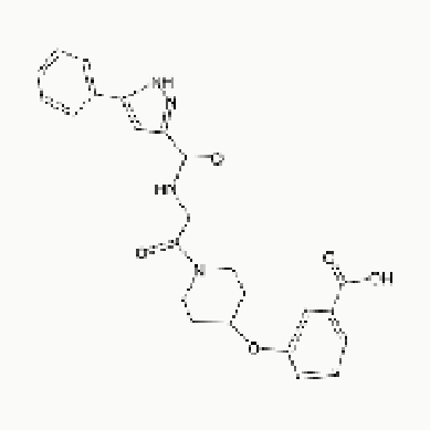 O=C(O)c1cccc(OC2CCN(C(=O)CNC(=O)c3cc(-c4ccccc4)[nH]n3)CC2)c1